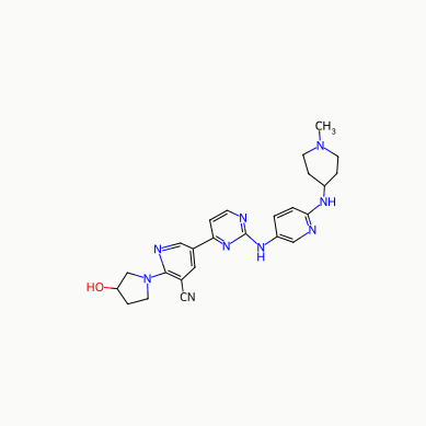 CN1CCC(Nc2ccc(Nc3nccc(-c4cnc(N5CCC(O)C5)c(C#N)c4)n3)cn2)CC1